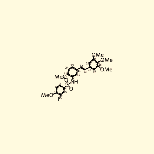 COc1ccc(S(=O)(=O)Nc2cc(C=Cc3cc(OC)c(OC)c(OC)c3)ccc2OC)cc1F